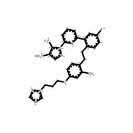 Cc1cc(OCCCn2cncn2)ccc1CCc1ccc(F)cc1-c1cccc(-n2ncc(C(=O)O)c2C(F)(F)F)n1